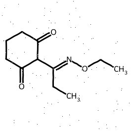 CCON=C(CC)C1C(=O)C[CH]CC1=O